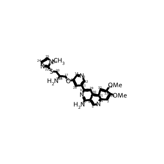 COc1cc2ncc3c(N)nc(-c4cncc(OC[C@@H](N)CSc5nccn5C)c4)cc3c2cc1OC